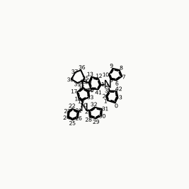 c1ccc(N(c2ccccc2)c2ccc(C3(c4ccc(N(c5ccccc5)c5ccccc5)cc4)CCCCC3)cc2)cc1